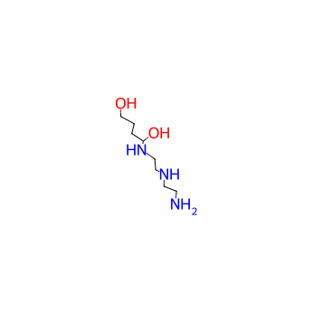 NCCNCCNC(O)CCCO